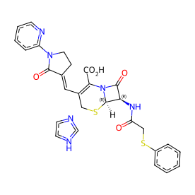 O=C(CSc1ccccc1)N[C@@H]1C(=O)N2C(C(=O)O)=C(C=C3CCN(c4ccccn4)C3=O)CS[C@H]12.c1c[nH]cn1